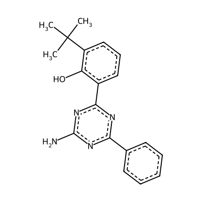 CC(C)(C)c1cccc(-c2nc(N)nc(-c3ccccc3)n2)c1O